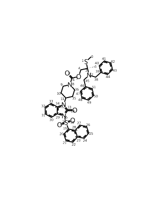 CS[C@](C)(COC(=O)N1CCC(n2c(=O)n(S(=O)(=O)c3cccc4ccccc34)c3ccccc32)CC1)N(Cc1ccccc1)Cc1ccccc1